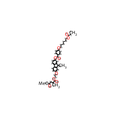 C=CC(=O)OCCCCCCOc1ccc(C(=O)Oc2ccc3c(c2)C(C)c2cc(OCCOC(=O)C(=C)CC(=O)OC)ccc2-3)cc1